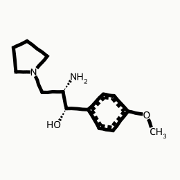 COc1ccc([C@H](O)[C@@H](N)CN2CCCC2)cc1